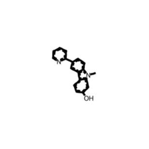 Cn1c2ccc(-c3ccccn3)cc2c2ccc(O)cc21